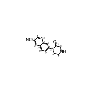 N#Cc1cnc2cc(N3CCNCC3=O)ccc2c1